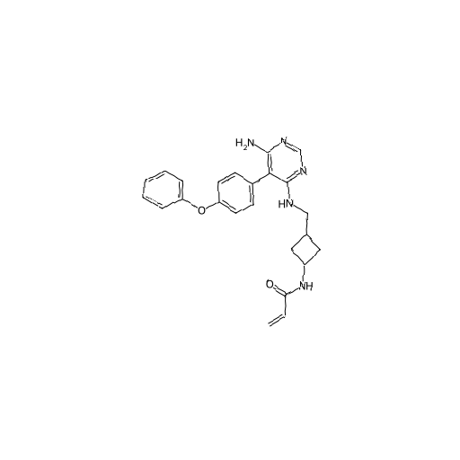 C=CC(=O)NC1CC(CNc2ncnc(N)c2-c2ccc(Oc3ccccc3)cc2)C1